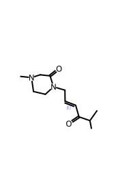 CC(C)C(=O)/C=C/CN1CCN(C)CC1=O